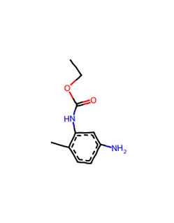 CCOC(=O)Nc1cc(N)ccc1C